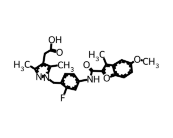 COc1ccc2oc(C(=O)Nc3ccc(Cn4nc(C)c(CC(=O)O)c4C)c(F)c3)c(C)c2c1